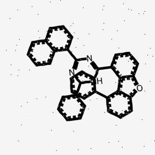 c1ccc(-c2cccc3oc4cccc(C5=NC(c6cccc7ccccc67)=NC(c6ccccc6)N5)c4c23)cc1